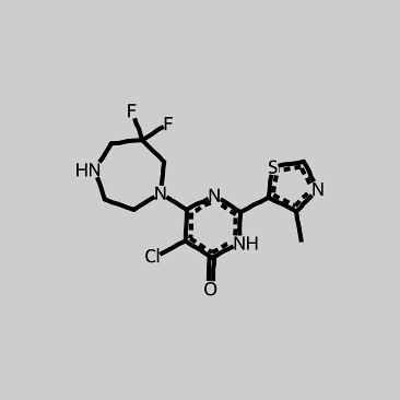 Cc1ncsc1-c1nc(N2CCNCC(F)(F)C2)c(Cl)c(=O)[nH]1